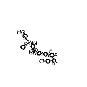 Cc1cc(S(=O)(=O)Nc2ccc(N3CCN(c4cc(-c5cc(C)n(C)c5-c5ccc(Cl)cc5)c(F)cc4F)CC3)cc2)ccc1N[C@H](CCN1CCC(O)CC1)CSc1ccccc1